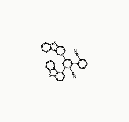 N#Cc1ccccc1-c1cc(-c2ccc3sc4ccccc4c3c2)cc(-c2cccc3sc4ccccc4c23)c1C#N